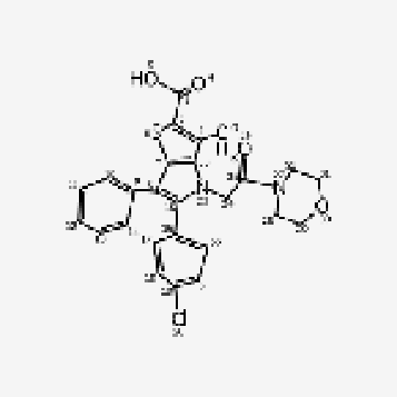 Cc1c(C(=O)O)sc2c(-c3ccccc3)c(-c3ccc(Cl)cc3)n(CC(=O)N3CCOCC3)c12